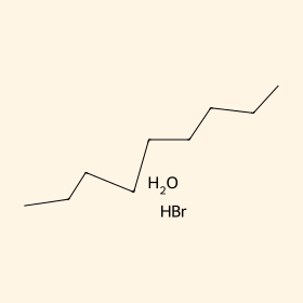 Br.CCCCCCCCC.O